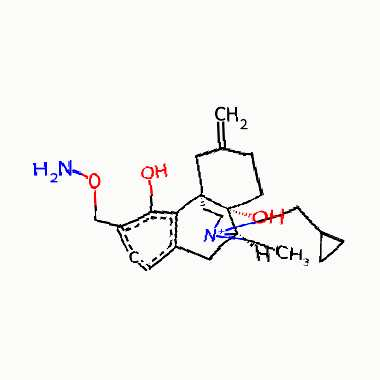 C=C1CC[C@@]2(O)[C@H]3Cc4ccc(CON)c(O)c4[C@@]2(CC[N+]3(C)CC2CC2)C1